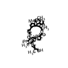 CCn1c(-c2cccnc2[C@H](C)OC)c2c3cc(ccc31)-c1csc(n1)C[C@H](NC(=O)[C@H](C(C)C)N(C)C(=O)N1CC([C@@H](C)CO)C1)C(=O)N1CCC[C@H](N1)C(=O)OCC(C)(C)C2